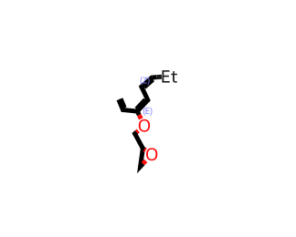 C=C/C(=C\C=C/CC)OCC1CO1